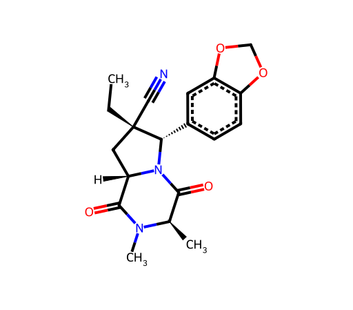 CC[C@]1(C#N)C[C@H]2C(=O)N(C)[C@H](C)C(=O)N2[C@H]1c1ccc2c(c1)OCO2